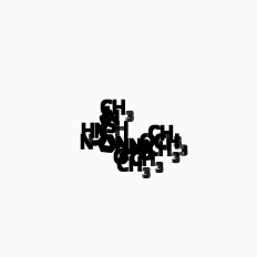 COC(Nc1ccc(C#N)c(Nc2cc(C)ns2)c1)C(C)NC(=O)OC(C)(C)C